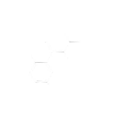 O=[P](c1ccccc1F)C(F)C(F)F